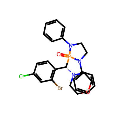 O=P1([C@@H](c2ccc(Cl)cc2Br)N2CCOCC2)N(c2ccccc2)CCN1c1ccccc1